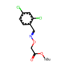 CCCCOC(=O)CON=Cc1c[c]c(Cl)cc1Cl